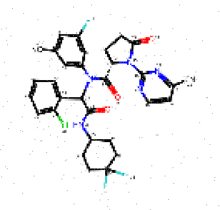 N#Cc1cc(F)cc(N(C(=O)[C@@H]2CCC(=O)N2c2nccc(C#N)n2)C(C(=O)NC2CCC(F)(F)CC2)c2ccccc2Cl)c1